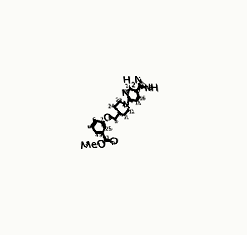 COC(=O)c1cccc(OCC2CCN(c3ccc(C(=N)N)cn3)CC2)c1